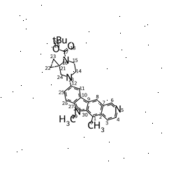 Cc1c2ccncc2cc2c3cc(N4CCN(C(=O)OC(C)(C)C)C5(CC5)C4)ccc3n(C)c12